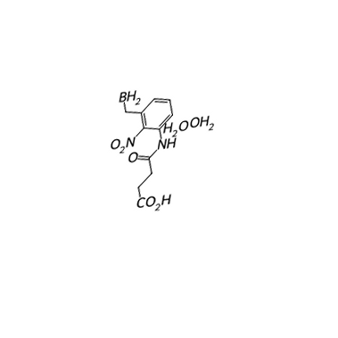 BCc1cccc(NC(=O)CCC(=O)O)c1[N+](=O)[O-].O.O